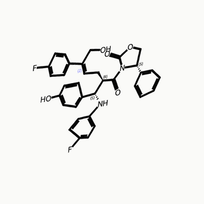 O=C1OC[C@H](c2ccccc2)N1C(=O)[C@H](C/C=C(\CO)c1ccc(F)cc1)[C@H](Nc1ccc(F)cc1)c1ccc(O)cc1